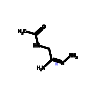 CC(=O)NC/C(N)=N\N